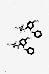 CS(=O)(=O)Nc1ccc([N+](=O)[O-])cc1Oc1ccccc1.CS(=O)(=O)Nc1ccc([N+](=O)[O-])cc1Oc1ccccc1